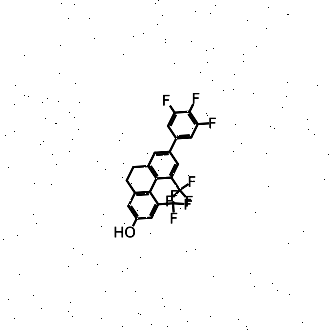 Oc1cc2c(c(C(F)(F)F)c1)-c1c(cc(-c3cc(F)c(F)c(F)c3)cc1C(F)(F)F)CC2